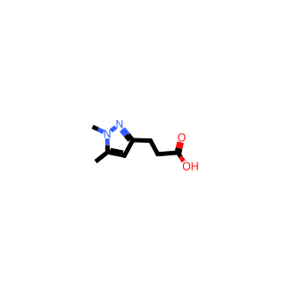 Cc1cc(CCC(=O)O)nn1C